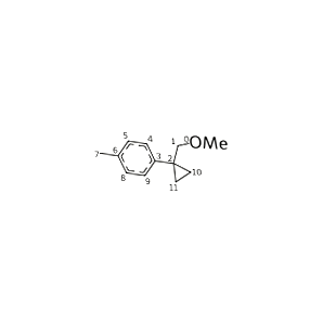 COCC1(c2ccc(C)cc2)CC1